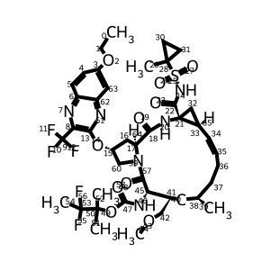 CCOc1ccc2nc(C(F)(F)F)c(O[C@@H]3C[C@H]4C(=O)N[C@]5(C(=O)NS(=O)(=O)C6(C)CC6)C[C@H]5C=CCC[C@@H](C)C[C@@H](COC)[C@H](NC(=O)OC(C)(C)C(C)(F)F)C(=O)N4C3)nc2c1